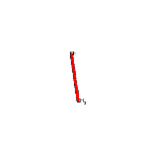 CCCCCCCCCCCCCCCCCCCCCCCCCCCCCCCCCCCCCCCCCCCCCCCCCCCCCCCCCCCCCCCCCCCCCCS